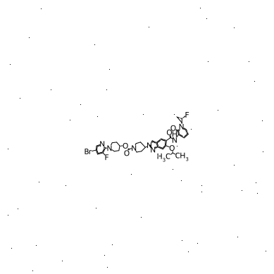 CC(C)Oc1cc2nn(C3CCN(C(=O)OC4CCN(c5ncc(Br)cc5F)CC4)CC3)cc2cc1C(=O)Nc1cccn([C@H]2C[C@H]2F)c1=O